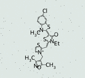 CCn1c(=O)/c(=C2\Sc3cc(Cl)ccc3N2C)s/c1=C\c1scc[n+]1Cc1c(C)noc1C